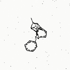 CC1=C2c3ccn(-c4ccccc4)c3C1[Si]2(C)C